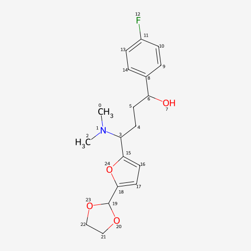 CN(C)C(CCC(O)c1ccc(F)cc1)c1ccc(C2OCCO2)o1